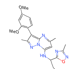 COc1ccc(-c2c(C)nn3c(NC(CC(C)C)c4nc(C)no4)cc(C)nc23)c(OC)c1